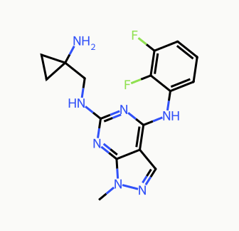 Cn1ncc2c(Nc3cccc(F)c3F)nc(NCC3(N)CC3)nc21